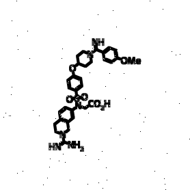 COc1ccc(C(=N)N2CCC(Oc3ccc(S(=O)(=O)N(CC(=O)O)c4ccc5c(c4)CN(C(=N)N)CC5)cc3)CC2)cc1